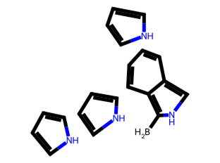 Bc1[nH]cc2ccccc12.c1cc[nH]c1.c1cc[nH]c1.c1cc[nH]c1